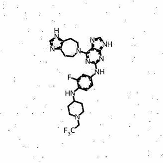 Fc1cc(Nc2nc(N3CCc4nc[nH]c4CC3)c3nc[nH]c3n2)ccc1NC1CCN(CC(F)(F)F)CC1